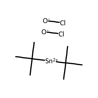 C[C](C)(C)[Sn+2][C](C)(C)C.[O-]Cl.[O-]Cl